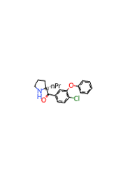 CCC[C@@]1(C(=O)c2ccc(Cl)c(Oc3ccccc3)c2)CCCN1